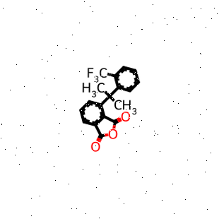 CC(C)(c1ccccc1C(F)(F)F)c1cccc2c1C(=O)OC2=O